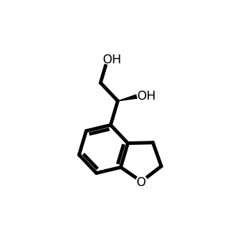 OC[C@@H](O)c1cccc2c1CCO2